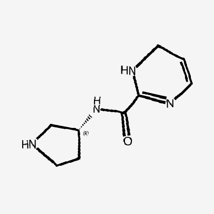 O=C(N[C@@H]1CCNC1)C1=NC=CCN1